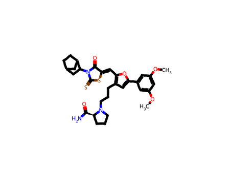 COc1cc(OC)cc(-c2cc(CCCN3CCC[C@H]3C(N)=O)c(/C=C3\SC(=S)N(C4CC5CCC4C5)C3=O)o2)c1